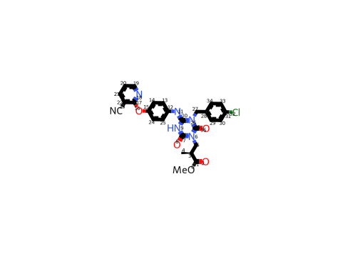 COC(=O)[C@@H](C)Cn1c(=O)[nH]/c(=N\c2ccc(Oc3ncccc3C#N)cc2)n(Cc2ccc(Cl)cc2)c1=O